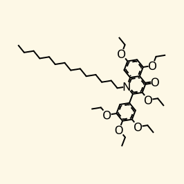 CCCCCCCCCCCCCCn1c(-c2cc(OCC)c(OCC)c(OCC)c2)c(OCC)c(=O)c2c(OCC)cc(OCC)cc21